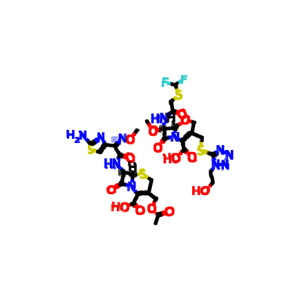 CO/N=C(\C(=O)N[C@@H]1C(=O)N2C(C(=O)O)=C(COC(C)=O)CS[C@H]12)c1csc(N)n1.CO[C@@]1(NC(=O)CSC(F)F)C(=O)N2C(C(=O)O)=C(CSc3nnnn3CCO)CO[C@@H]21